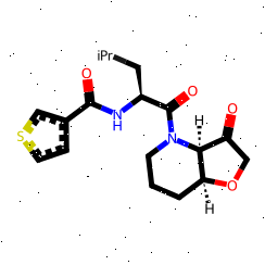 CC(C)C[C@H](NC(=O)c1ccsc1)C(=O)N1CCC[C@@H]2OCC(=O)[C@@H]21